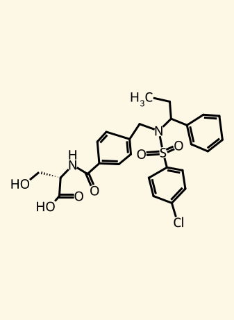 CCC(c1ccccc1)N(Cc1ccc(C(=O)N[C@@H](CO)C(=O)O)cc1)S(=O)(=O)c1ccc(Cl)cc1